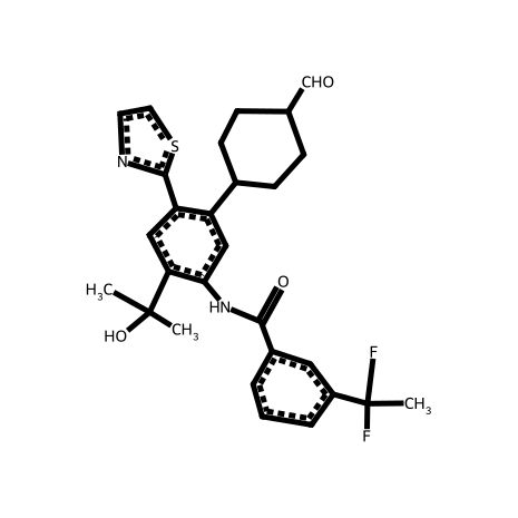 CC(C)(O)c1cc(-c2nccs2)c(C2CCC(C=O)CC2)cc1NC(=O)c1cccc(C(C)(F)F)c1